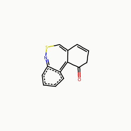 O=C1CC=CC2=CSN=c3ccccc3=C12